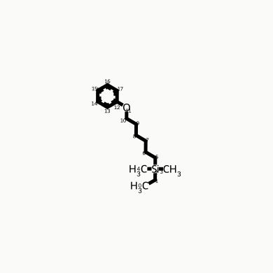 CC[Si](C)(C)CCCCCCOc1cc[c]cc1